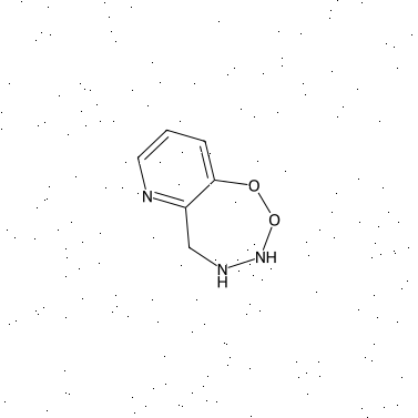 c1cnc2c(c1)OONNC2